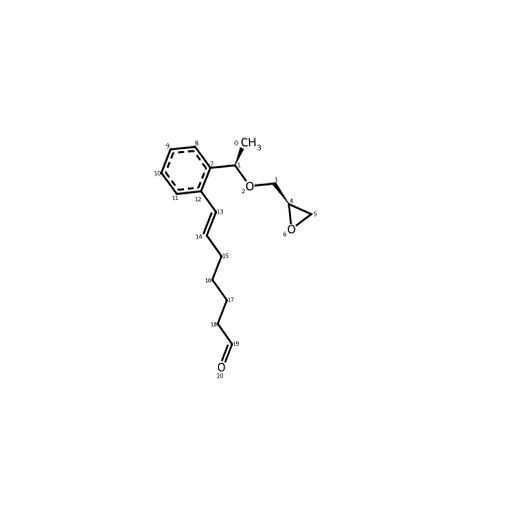 C[C@@H](OC[C@H]1CO1)c1ccccc1/C=C/CCCCC=O